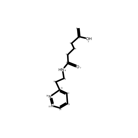 C=C(O)CCCC(=O)NCCc1cccnn1